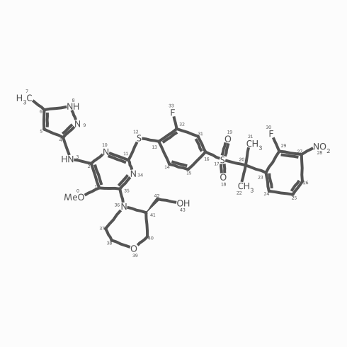 COc1c(Nc2cc(C)[nH]n2)nc(Sc2ccc(S(=O)(=O)C(C)(C)c3cccc([N+](=O)[O-])c3F)cc2F)nc1N1CCOC[C@@H]1CO